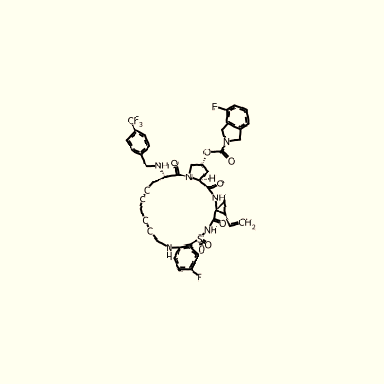 C=C[C@@H]1C[C@@]12NC(=O)[C@@H]1C[C@@H](OC(=O)N3Cc4cccc(F)c4C3)CN1C(=O)[C@@H](NCc1ccc(C(F)(F)F)cc1)CCCCCCCNc1ccc(F)cc1S(=O)(=O)NC2=O